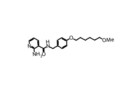 COCCCCCCOc1ccc(CNC(=O)c2cccnc2N)cc1